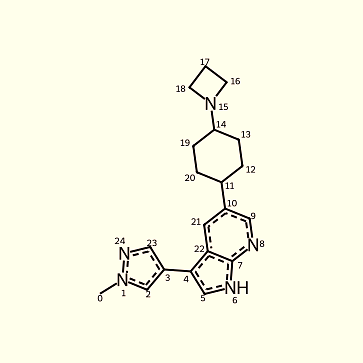 Cn1cc(-c2c[nH]c3ncc(C4CCC(N5CCC5)CC4)cc23)cn1